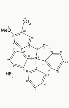 Br.COc1ccc(C(C)[PH](c2ccccc2)(c2ccccc2)c2ccccc2)cc1[N+](=O)[O-]